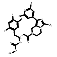 CC(C)(C)OC(=O)N[C@@H](CC(=O)N1CCn2c(C(F)(F)F)nc(-c3cc(F)nc(F)c3)c2C1)Cc1cc(F)c(F)cc1F